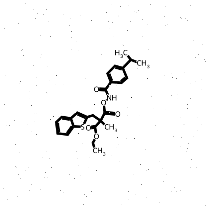 CCOC(=O)C(C)(Cc1cc2ccccc2s1)C(=O)ONC(=O)c1ccc(C(C)C)cc1